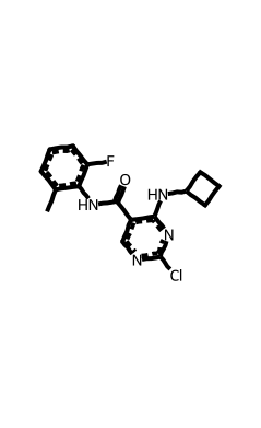 Cc1cccc(F)c1NC(=O)c1cnc(Cl)nc1NC1CCC1